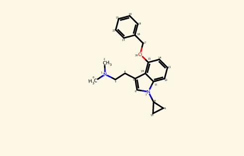 CN(C)CCc1cn(C2CC2)c2cccc(OCc3ccccc3)c12